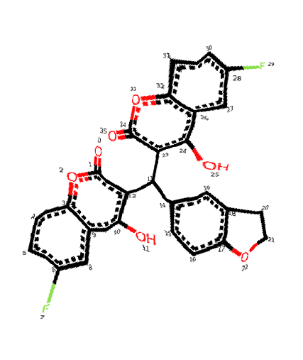 O=c1oc2ccc(F)cc2c(O)c1C(c1ccc2c(c1)CCO2)c1c(O)c2cc(F)ccc2oc1=O